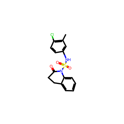 Cc1cc(NS(=O)(=O)N2C(=O)CCc3ccccc32)ccc1Cl